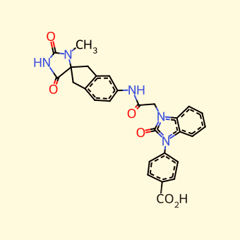 CN1C(=O)NC(=O)C12Cc1ccc(NC(=O)Cn3c(=O)n(-c4ccc(C(=O)O)cc4)c4ccccc43)cc1C2